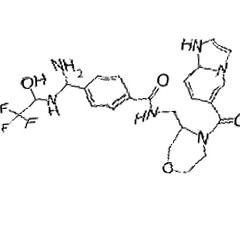 NC(NC(O)C(F)(F)F)c1ccc(C(=O)NCC2COCCN2C(=O)C2=CN3C=CNC3C=C2)cc1